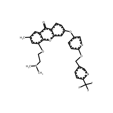 Cc1cc(OCCN(C)C)c2oc3cc(Oc4ccc(OCc5ccc(C(F)(F)F)nc5)nc4)ccc3c(=O)c2c1